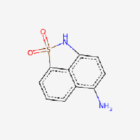 Nc1ccc2c3c(cccc13)S(=O)(=O)N2